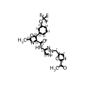 CC(=O)c1ncc(Cn2ncc(NC(=O)c3nc(C)oc3-c3cccc(OC(F)(F)F)c3)n2)o1